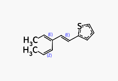 C\C=C/C(/C=C/c1cccs1)=C\C